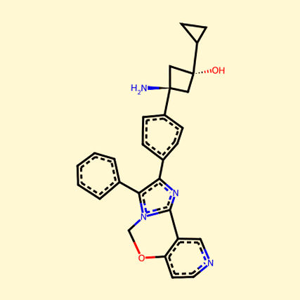 N[C@]1(c2ccc(-c3nc4n(c3-c3ccccc3)COc3ccncc3-4)cc2)C[C@](O)(C2CC2)C1